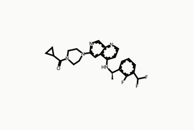 C[C@@H](Nc1ccnc2cnc(N3CCN(C(=O)C4CC4)CC3)cc12)c1cccc(C(F)F)c1F